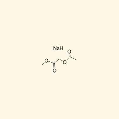 COC(=O)COC(C)=O.[NaH]